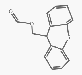 O=[C]OCC1c2ccccc2Sc2ccccc21